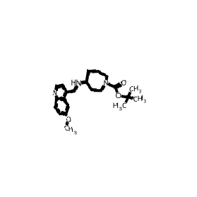 COc1ccc2nccc(CNC3CCCN(C(=O)OC(C)(C)C)CC3)c2c1